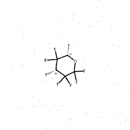 F[C@@H]1OC(F)(F)C(F)(F)[C@H](F)C1(F)F